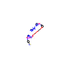 Cc1ncsc1-c1ccc(CNC(=O)[C@@H]2CCCN2C(=O)[C@@H](NC(=O)COCCCOCCCCCOc2cccc([C@@H](C)NC(=O)c3cccc(NCc4nnc(-c5ccncn5)n4C)c3)c2)C(C)(C)C)cc1